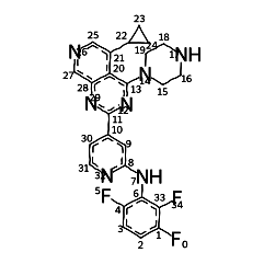 Fc1ccc(F)c(Nc2cc(-c3nc(N4CCNCC4)c4c(C5CC5)cncc4n3)ccn2)c1F